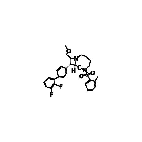 COCC1[C@@H](c2ccc(-c3cccc(F)c3F)cc2)[C@@H]2CN(S(=O)(=O)c3ccccc3C)CCCCN12